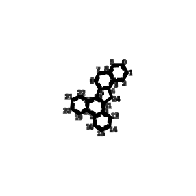 c1ccc2c3c(ccc2c1)-c1c(c2ccccc2c2ccccc12)C3